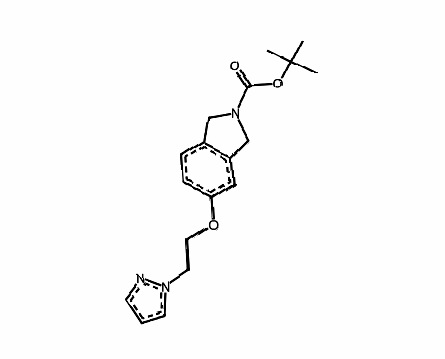 CC(C)(C)OC(=O)N1Cc2ccc(OCCn3cccn3)cc2C1